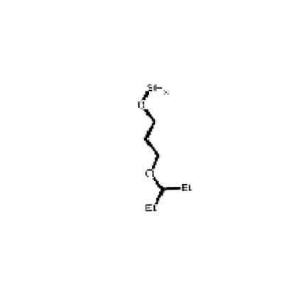 CCC(CC)OCCCO[SiH3]